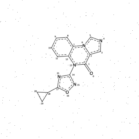 O=c1c2cncn2c2ccccc2n1-c1noc(C2CC2)n1